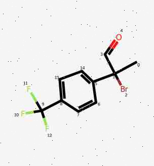 CC(Br)(C=O)c1ccc(C(F)(F)F)cc1